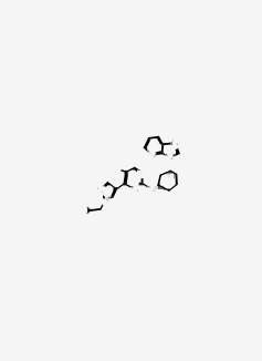 FC(F)Cn1cc(-c2nc(N[C@@H]3CCC[C@H](n4cnc5cccnc54)C3)ncc2C(F)(F)F)cn1